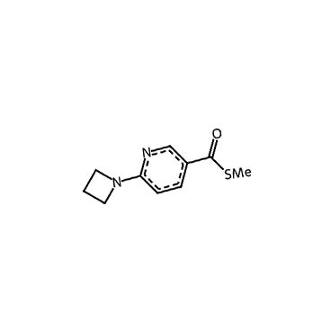 CSC(=O)c1ccc(N2CCC2)nc1